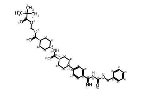 CC(C)(C)C(=O)OCOC(=O)[C@H]1CC[C@H](NC(=O)N2CCN(c3ccc(C(=N)NC(=O)OCc4ccccc4)cc3)CC2)CC1